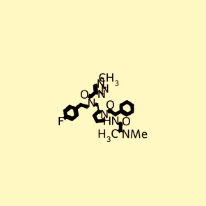 CN[C@@H](C)C(=O)N[C@H](C(=O)N1CCC[C@H]1CN(CCc1ccc(F)cc1)C(=O)c1cn(C)nn1)C1=CCCCC1